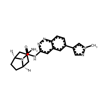 Cn1cc(-c2ccc3nnc(NC(=O)N4[C@@H]5CC[C@H]4CC(N)C5)cc3c2)cn1